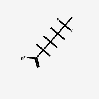 C=C(CCC)C(C)(C)C(C)(C)C(C)(C)C(C)(F)F